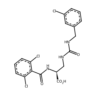 O=C(NCc1cccc(Cl)c1)NC[C@H](NC(=O)c1c(Cl)cccc1Cl)C(=O)O